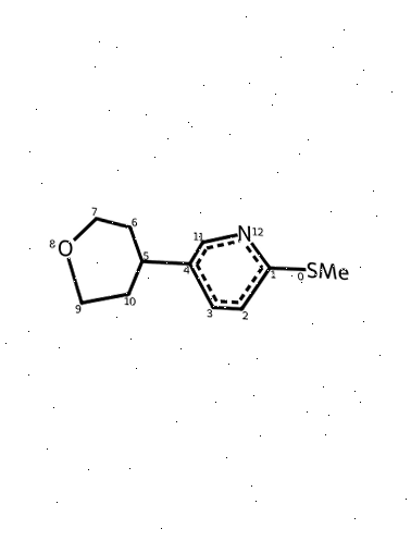 CSc1ccc(C2CCOCC2)cn1